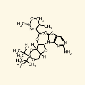 CB(O)N[C@H](C(=O)O[C@@H]1[C@H]2O[Si](C(C)(C)C)(C(C)(C)C)OC[C@H]2O[C@H]1n1c(=O)sc2cnc(N)nc21)C(C)C